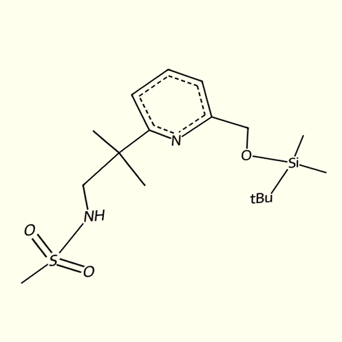 CC(C)(CNS(C)(=O)=O)c1cccc(CO[Si](C)(C)C(C)(C)C)n1